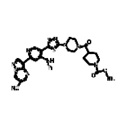 CC(C)Nc1cc(-c2cnn3cc(C#N)cnc23)ncc1-c1nnc(N2CCN(C(=O)C3CCN(C(=O)OC(C)(C)C)CC3)CC2)s1